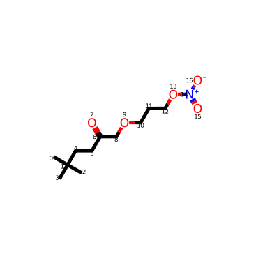 CC(C)(C)CCC(=O)COCCCO[N+](=O)[O-]